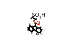 O=C(SCCS(=O)(=O)O)C1c2ccccc2C2C=CC=CC21